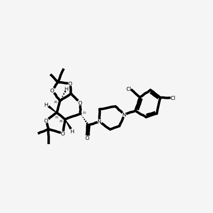 CC1(C)O[C@@H]2[C@H](O1)[C@H]1OC(C)(C)OC1O[C@@H]2C(=O)N1CCN(c2ccc(Cl)cc2Cl)CC1